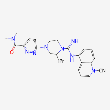 CC(C)C1CN(c2ccc(C(=O)N(C)C)nn2)CCN1C(=N)NC1=CC=CC2C1=CC=CN2C#N